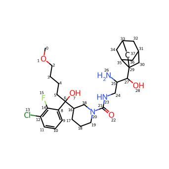 COCCCCC(O)(c1cccc(Cl)c1F)C1CCCN(C(=O)NCC(N)C(O)C23CC4CC(CC2C4)C3)C1